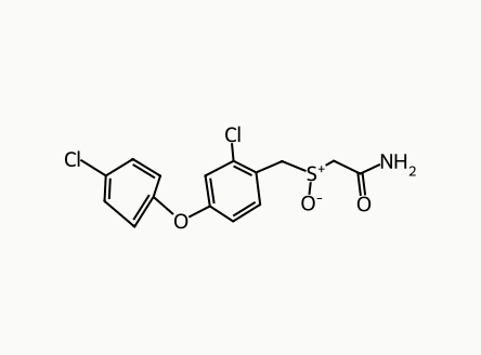 NC(=O)C[S+]([O-])Cc1ccc(Oc2ccc(Cl)cc2)cc1Cl